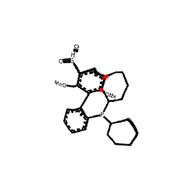 COc1ccc([SH](=O)=O)c(OC)c1-c1ccccc1P(C1CCCCC1)C1CCCCC1